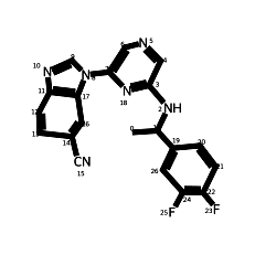 CC(Nc1cncc(-n2cnc3ccc(C#N)cc32)n1)c1ccc(F)c(F)c1